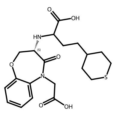 O=C(O)CN1C(=O)[C@@H](NC(CCC2CCSCC2)C(=O)O)COc2ccccc21